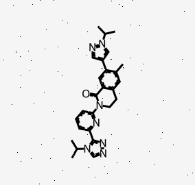 Cc1cc2c(cc1-c1cnn(C(C)C)c1)C(=O)N(c1cccc(-c3nncn3C(C)C)n1)CC2